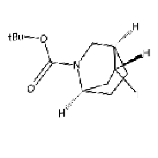 CC(C)(C)OC(=O)N1C[C@H]2CC[C@@H]1C[C@H]2I